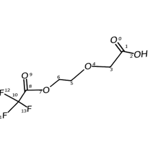 O=C(O)COCCOC(=O)C(F)(F)F